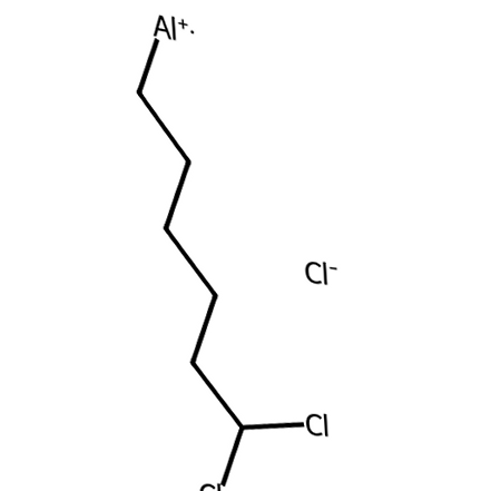 [Al+][CH2]CCCCC(Cl)Cl.[Cl-]